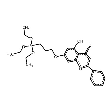 CCO[Si](CCCOc1cc(O)c2c(=O)cc(-c3ccccc3)oc2c1)(OCC)OCC